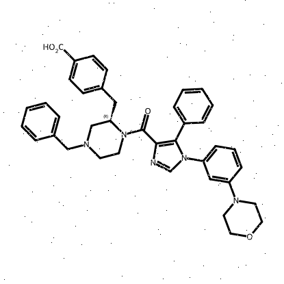 O=C(O)c1ccc(C[C@@H]2CN(Cc3ccccc3)CCN2C(=O)c2ncn(-c3cccc(N4CCOCC4)c3)c2-c2ccccc2)cc1